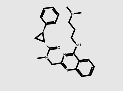 CN(C)CCCNc1nc(CN(C)C(=O)[C@@H]2C[C@H]2c2ccccc2)nc2ccccc12